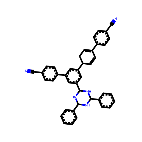 N#Cc1ccc(C2=CCC(c3cc(-c4ccc(C#N)cc4)cc(C4NC(c5ccccc5)NC(c5ccccc5)N4)c3)C=C2)cc1